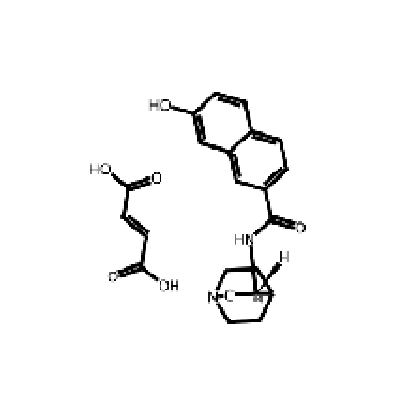 O=C(N[C@H]1CN2CCC1CC2)c1ccc2ccc(O)cc2c1.O=C(O)C=CC(=O)O